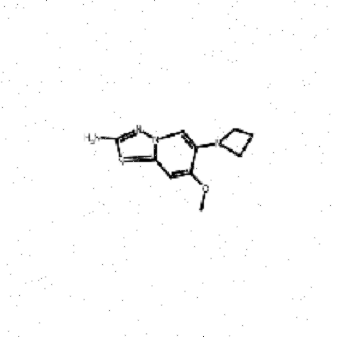 COc1cc2nc(N)nn2cc1N1CCC1